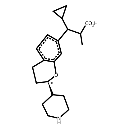 CC(C(=O)O)C(c1ccc2c(c1)O[C@@H](C1CCNCC1)CC2)C1CC1